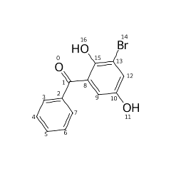 O=C(c1ccccc1)c1cc(O)cc(Br)c1O